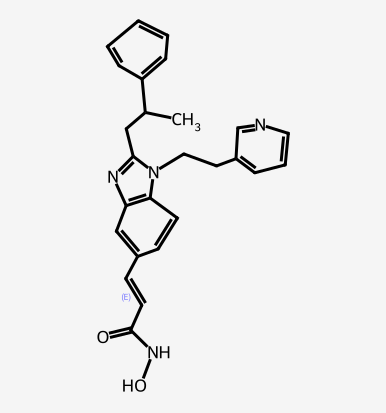 CC(Cc1nc2cc(/C=C/C(=O)NO)ccc2n1CCc1cccnc1)c1ccccc1